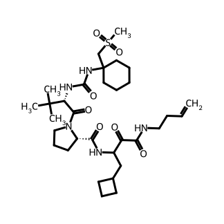 C=CCCNC(=O)C(=O)C(CC1CCC1)NC(=O)[C@@H]1CCCN1C(=O)[C@@H](NC(=O)NC1(CS(C)(=O)=O)CCCCC1)C(C)(C)C